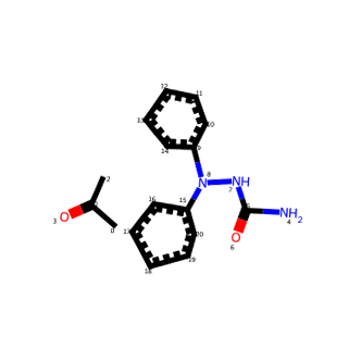 CC(C)=O.NC(=O)NN(c1ccccc1)c1ccccc1